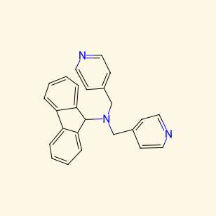 c1ccc2c(c1)-c1ccccc1C2N(Cc1ccncc1)Cc1ccncc1